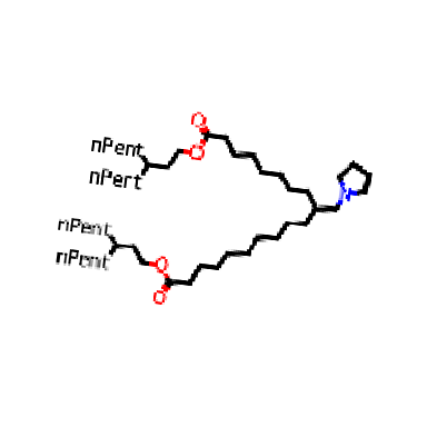 CCCCCC(CCCCC)CCOC(=O)CCCCCCCCCC(CCCCCCCC(=O)OCCC(CCCCC)CCCCC)CN1CCCC1